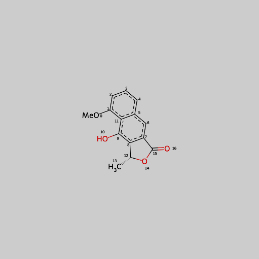 COc1cccc2cc3c(c(O)c12)[C@@H](C)OC3=O